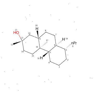 CCC[C@@H]1CCC[C@H]2[C@H]1CC[C@H]1C[C@@](C)(O)CC[C@@]12C